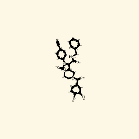 N#Cc1ccc(-n2c(C(=O)NCc3ccccc3)c3n(c2=O)CCN(C(=O)c2ccc(Br)c(Cl)c2)C3)cc1